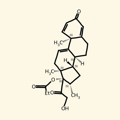 CCC(=O)O[C@@]1(C(=O)CO)[C@@H](C)C[C@H]2[C@@H]3CCC4=CC(=O)C=C[C@]4(C)C3=CC[C@@]21C